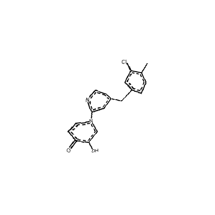 Cc1ccc(Cc2ccnc(-n3ccc(=O)c(O)c3)c2)cc1Cl